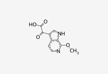 COc1nccc2c(C(=O)C(=O)O)c[nH]c12